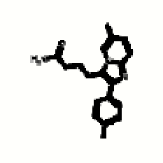 Cc1ccc(-c2nc3ccc(C)cn3c2CCCC(N)=O)cc1